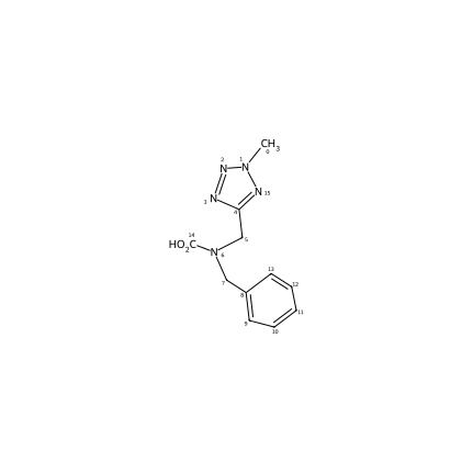 Cn1nnc(CN(Cc2ccccc2)C(=O)O)n1